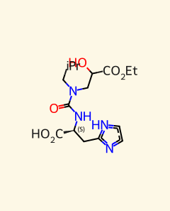 CCOC(=O)C(O)CN(CC(C)C)C(=O)N[C@@H](Cc1ncc[nH]1)C(=O)O